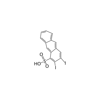 O=S(=O)(O)c1c(I)c(I)cc2cc3ccccc3cc12